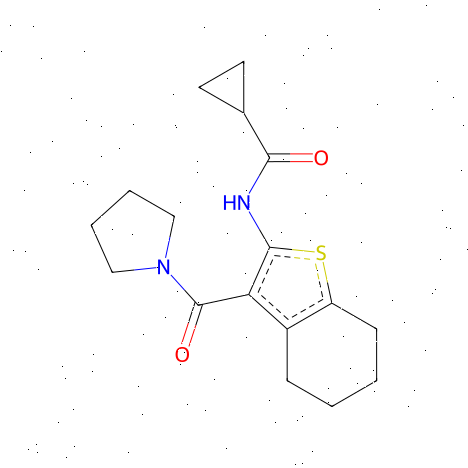 O=C(Nc1sc2c(c1C(=O)N1CCCC1)CCCC2)C1CC1